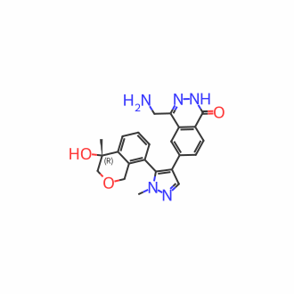 Cn1ncc(-c2ccc3c(=O)[nH]nc(CN)c3c2)c1-c1cccc2c1COC[C@]2(C)O